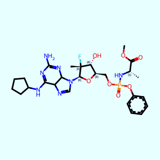 COC(=O)[C@H](C)NP(=O)(OC[C@H]1O[C@@H](N2C=NC3C(NC4CCCC4)=NC(N)=NC32)[C@](C)(F)[C@@H]1O)Oc1ccccc1